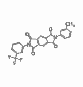 Cc1cccc(-n2c(=O)c3cc4c(=O)n(-c5cccc(C(F)(F)F)c5)c(=O)c4cc3c2=O)c1